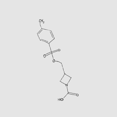 Cc1ccc(S(=O)(=O)OCC2CN(C(=O)O)C2)cc1